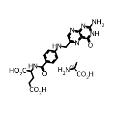 C[C@H](N)C(=O)O.Nc1nc2ncc(CNc3ccc(C(=O)NC(CCC(=O)O)C(=O)O)cc3)nc2c(=O)[nH]1